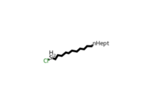 CCCCCCCCCCCCCCCCCC[SiH2]Cl